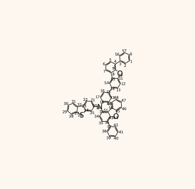 c1ccc(-c2cccc3c2oc2ccc(-c4ccc(N(c5ccc6c(c5)sc5ccccc56)c5ccc(-c6ccccc6)c6oc7ccccc7c56)cc4)cc23)cc1